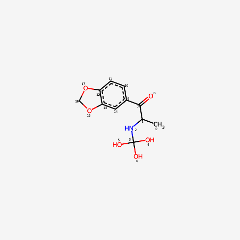 CC(NC(O)(O)O)C(=O)c1ccc2c(c1)OCO2